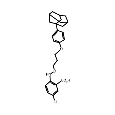 O=C(O)c1cc(Cl)ccc1NOCCCOc1ccc(C23CC4CC(CC(C4)C2)C3)cc1